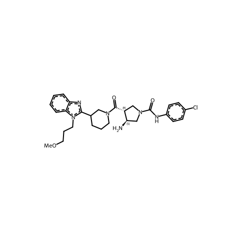 COCCCn1c(C2CCCN(C(=O)[C@@H]3CN(C(=O)Nc4ccc(Cl)cc4)C[C@H]3N)C2)nc2ccccc21